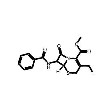 COC(=O)C1=C(CI)CS[C@@H]2C(NC(=O)c3ccccc3)C(=O)N12